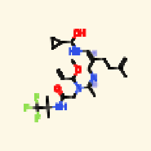 C=CC(OC)N(CC(=O)NC(C)(C)C(F)(F)F)/C(C)=N\C/C(=C\NC(O)C1CC1)CCC(=C)C